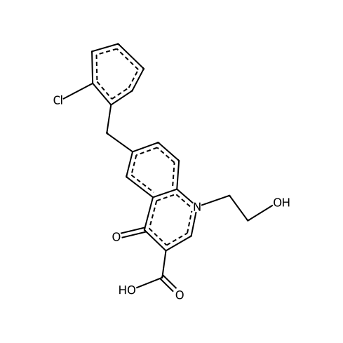 O=C(O)c1cn(CCO)c2ccc(Cc3ccccc3Cl)cc2c1=O